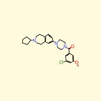 COc1cc(Cl)cc(C(=O)N2CCN(c3ccc4c(c3)CCN(C3CCCC3)CC4)CC2)c1